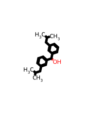 CC(C)Cc1cccc(C(O)c2cccc(CC(C)C)c2)c1